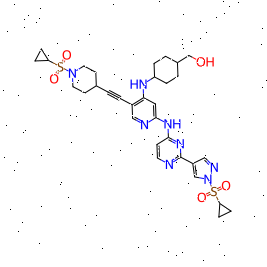 O=S(=O)(C1CC1)N1CCC(C#Cc2cnc(Nc3ccnc(-c4cnn(S(=O)(=O)C5CC5)c4)n3)cc2NC2CCC(CO)CC2)CC1